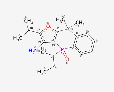 CCC(C)P1(=O)c2ccccc2C(C)(C)c2oc(C(C)C)c(N)c21